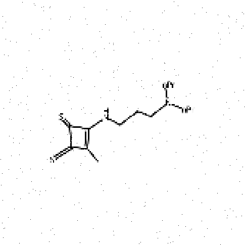 CCCN(CCC)CCCNc1c(C)c(=S)c1=S